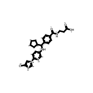 O=C(O)CCNC(=O)c1ccc(C(Nc2ccc(-n3cnc(Cl)c3)nc2)C2CCCC2)cc1